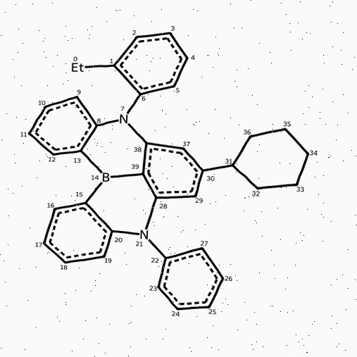 CCc1ccccc1N1c2ccccc2B2c3ccccc3N(c3ccccc3)c3cc(C4CCCCC4)cc1c32